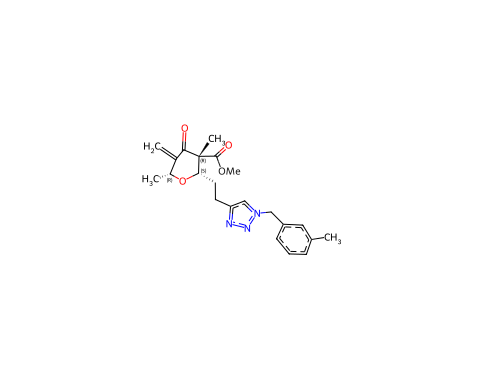 C=C1C(=O)[C@](C)(C(=O)OC)[C@H](CCc2cn(Cc3cccc(C)c3)nn2)O[C@@H]1C